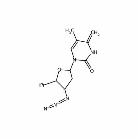 C=C1NC(=O)N(C2CC(N=[N+]=[N-])C(C(C)C)O2)C=C1C